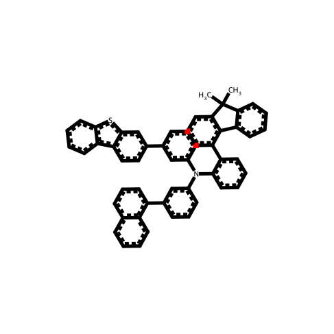 CC1(C)c2ccccc2-c2c(-c3ccccc3N(c3cccc(-c4ccc5c(c4)sc4ccccc45)c3)c3cccc(-c4cccc5ccccc45)c3)cccc21